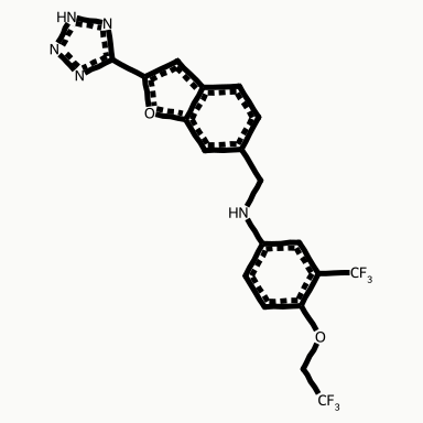 FC(F)(F)COc1ccc(NCc2ccc3cc(-c4nn[nH]n4)oc3c2)cc1C(F)(F)F